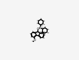 COc1cccc2c1-c1ccccc1C2OP(C1CCCCC1)C1CCCCC1